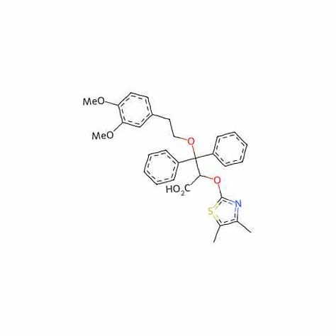 COc1ccc(CCOC(c2ccccc2)(c2ccccc2)C(Oc2nc(C)c(C)s2)C(=O)O)cc1OC